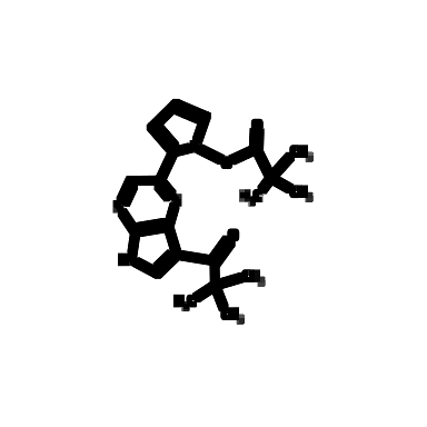 CC(C)(C)C(=O)On1cccc1-c1cnc2[nH]cc(C(=O)C(C)(C)C)c2n1